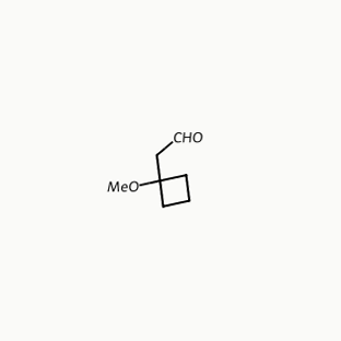 COC1(CC=O)CCC1